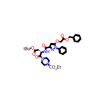 CCOC(=O)N1CCN(C(=O)[C@H](CC(=O)OC(C)(C)C)NC(=O)c2cc(OCC(=O)OCc3ccccc3)n(-c3ccccc3)n2)CC1